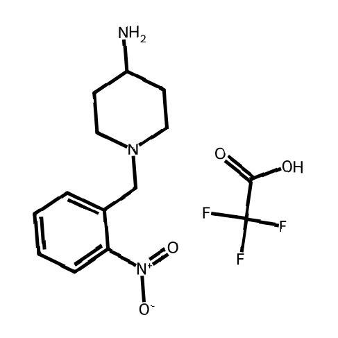 NC1CCN(Cc2ccccc2[N+](=O)[O-])CC1.O=C(O)C(F)(F)F